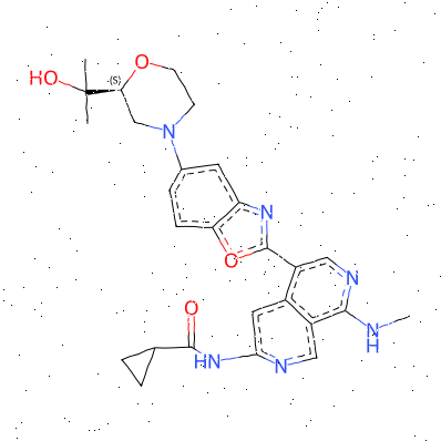 CNc1ncc(-c2nc3cc(N4CCO[C@H](C(C)(C)O)C4)ccc3o2)c2cc(NC(=O)C3CC3)ncc12